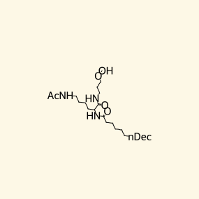 CCCCCCCCCCCCCCCC(=O)NC(CCCCNC(C)=O)C(=O)NCCCOO